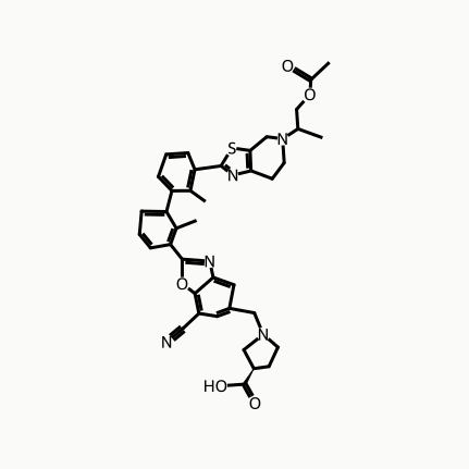 CC(=O)OCC(C)N1CCc2nc(-c3cccc(-c4cccc(-c5nc6cc(CN7CC[C@@H](C(=O)O)C7)cc(C#N)c6o5)c4C)c3C)sc2C1